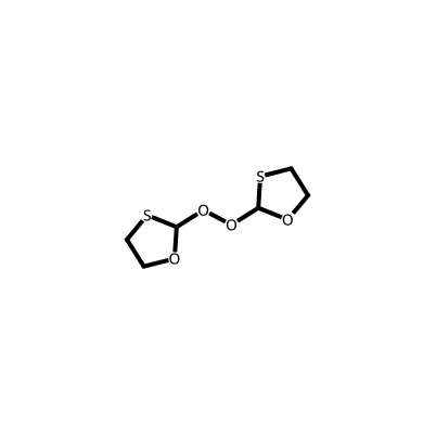 C1CSC(OOC2OCCS2)O1